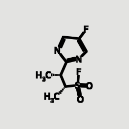 C[C@H](c1ncc(F)cn1)[C@@H](C)S(=O)(=O)F